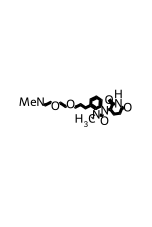 CNCCOCCOCCCc1cccc2c1n(C)c(=O)n2C1CCC(=O)NC1=O